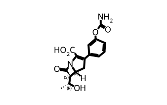 C[C@@H](O)[C@H]1C(=O)N2C(C(=O)O)=C(c3cccc(OC(N)=O)c3)C[C@H]12